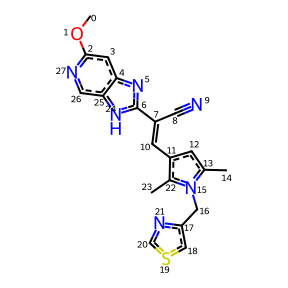 COc1cc2nc(/C(C#N)=C/c3cc(C)n(Cc4cscn4)c3C)[nH]c2cn1